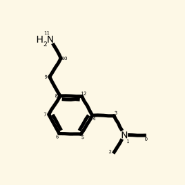 CN(C)Cc1cccc(CCN)c1